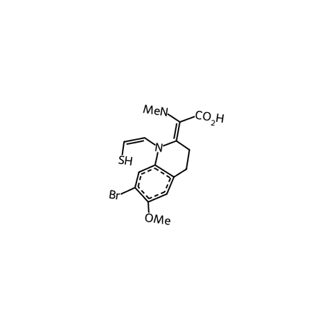 CN/C(C(=O)O)=C1/CCc2cc(OC)c(Br)cc2N1/C=C\S